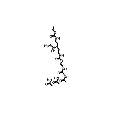 CC(=O)O.CC(=O)O.CC(=O)O.CC(=O)O.CCOC(=O)NCCN(CCNC(=O)OCC)[N+]([O-])=NO